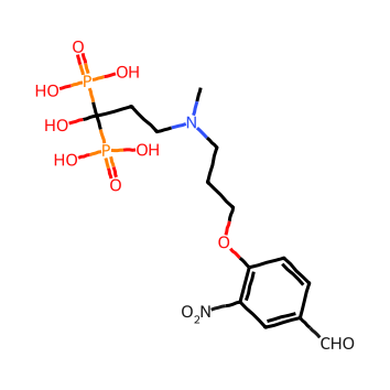 CN(CCCOc1ccc(C=O)cc1[N+](=O)[O-])CCC(O)(P(=O)(O)O)P(=O)(O)O